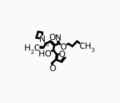 C=C[C@@H](c1onc(OCCCC)c1C(O)c1occc1C=O)N1CCC1